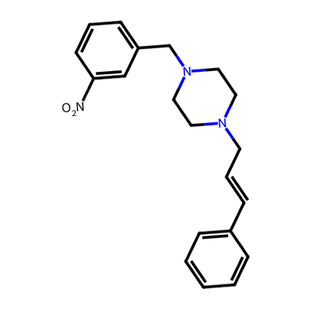 O=[N+]([O-])c1cccc(CN2CCN(C/C=C/c3ccccc3)CC2)c1